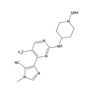 CSN1CCC(Nc2ncc(C(F)(F)F)c(-c3ncn(C)c3C#N)n2)CC1